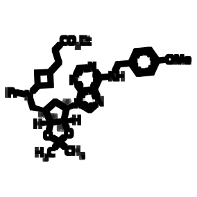 CCOC(=O)CCC1CC(N(C[C@H]2C[C@@H](n3cnc4c(NCc5ccc(OC)cc5)ncnc43)[C@@H]3OC(C)(C)O[C@H]23)C(C)C)C1